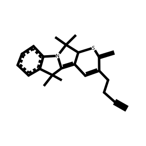 C#CCCC1=CC2=C3N(c4ccccc4C3(C)C)C(C)(C)C2SC1=C